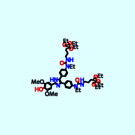 CCO[Si](CCCNC(=O)N(CC)c1ccc(-c2nc(-c3cc(OC)c(O)c(OC)c3)[nH]c2-c2ccc(N(CC)C(=O)NCCC[Si](OCC)(OCC)OCC)cc2)cc1)(OCC)OCC